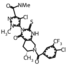 CNC(=O)c1nn(C)c(-n2c(=S)[nH]c3c(c2=O)C[C@@H](C)N(C(=O)c2ccc(Cl)c(C(F)(F)F)c2)C3)c1Cl